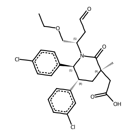 CCOC[C@H](CC=O)N1C(=O)[C@@](C)(CC(=O)O)C[C@H](c2cccc(Cl)c2)[C@H]1c1ccc(Cl)cc1